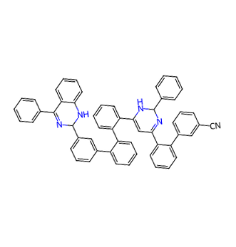 N#Cc1cccc(-c2ccccc2C2=NC(c3ccccc3)NC(c3ccccc3-c3ccccc3-c3cccc(C4N=C(c5ccccc5)c5ccccc5N4)c3)=C2)c1